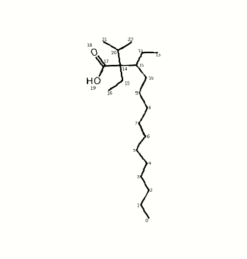 CCCCCCCCCCCC(CC)C(CC)(C(=O)O)C(C)C